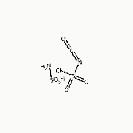 NS(=O)(=O)O.O=C=NS(=O)(=O)Cl